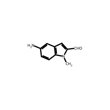 Cn1c(C=O)cc2cc(N)ccc21